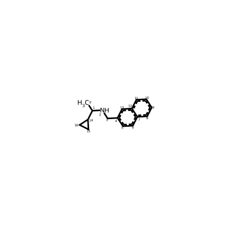 CC(NCc1ccc2ccccc2c1)C1CC1